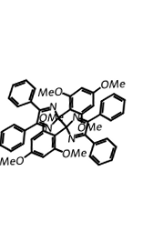 COc1cc(OC)c(C2(C3(c4c(OC)cc(OC)cc4OC)N=C(c4ccccc4)C(c4ccccc4)=N3)N=C(c3ccccc3)C(c3ccccc3)=N2)c(OC)c1